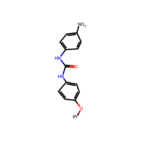 CC(C)Oc1ccc(NC(=O)Nc2ccc([N+](=O)[O-])cc2)cc1